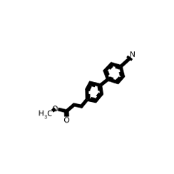 COC(=O)CCc1ccc(-c2ccc(C#N)cc2)cc1